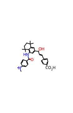 CN(C)c1ccc(C(=O)Nc2cc(C(O)/C=C/c3ccc(C(=O)O)cc3)cc3c2C(C)(C)CCC3(C)C)cc1